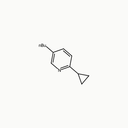 CCCCc1ccc(C2CC2)nc1